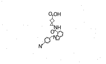 N#Cc1ccc(Cn2ccc3cccc(C(=O)NC4CC45CC(C(=O)O)C5)c32)cc1